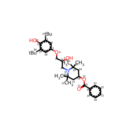 CC(C)(C)c1cc(OCC(O)CN2C(C)(C)CC(OC(=O)c3ccccc3)CC2(C)C)cc(C(C)(C)C)c1O